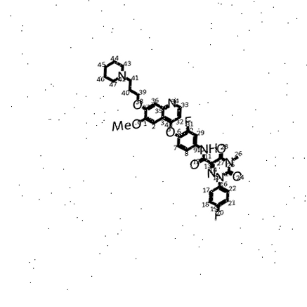 COc1cc2c(Oc3ccc(NC(=O)c4nn(-c5ccc(F)cc5)c(=O)n(C)c4=O)cc3F)ccnc2cc1OCCCN1CCCCC1